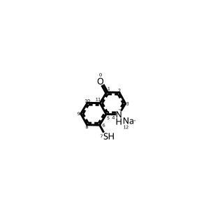 O=c1cc[nH]c2c(S)cccc12.[Na]